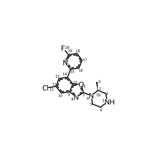 C[C@H]1CNCCN1c1nc2cc(Cl)cc(-c3cccc(F)n3)c2o1